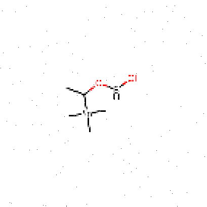 C[CH](OBO)[Sn]([CH3])([CH3])[CH3]